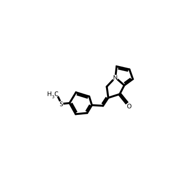 CSc1ccc(/C=C2\Cn3cccc3C2=O)cc1